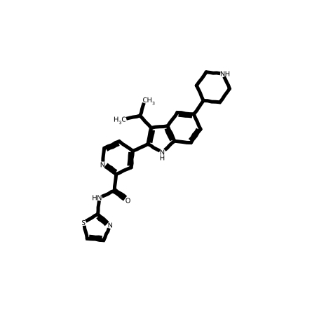 CC(C)c1c(-c2ccnc(C(=O)Nc3nccs3)c2)[nH]c2ccc(C3CCNCC3)cc12